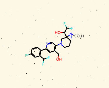 O=C(O)NC1(C(O)C(F)F)CCCN(c2cnc(-c3ccc(F)cc3C(F)F)cc2CO)C1